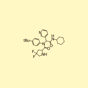 CC(C)(C)c1ccc(N(C(=O)C2CC(F)(F)CN2)C(C(=O)NC2CCCCC2)c2cccnc2)cc1